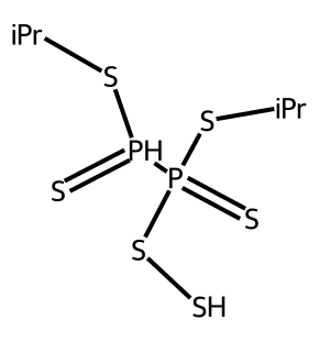 CC(C)S[PH](=S)P(=S)(SS)SC(C)C